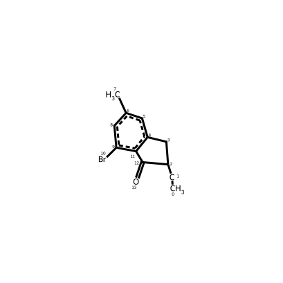 CCC1Cc2cc(C)cc(Br)c2C1=O